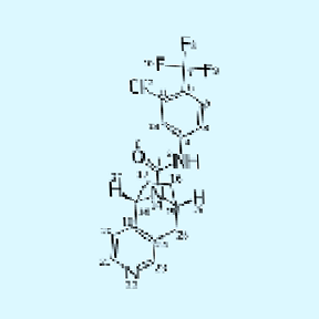 O=C(Nc1ccc(C(F)(F)F)c(Cl)c1)N1[C@@H]2CC[C@H]1c1ccncc1C2